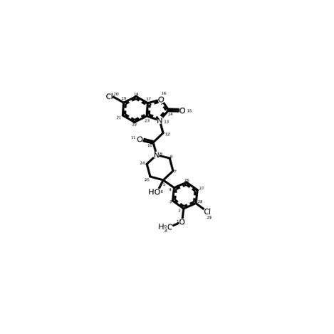 COc1cc(C2(O)CCN(C(=O)Cn3c(=O)oc4cc(Cl)ccc43)CC2)ccc1Cl